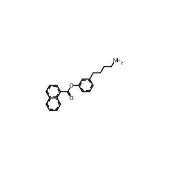 NCCCCc1cccc(OC(=O)c2cccc3ccccc23)c1